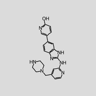 Oc1ccc(-c2ccc3nc(Nc4cc(CN5CCNCC5)ccn4)[nH]c3c2)cn1